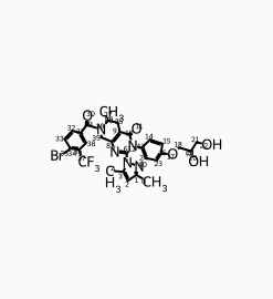 Cc1cc(C)n(-c2nc3c(c(=O)n2-c2ccc(OC[C@@H](O)CO)cc2)C[C@@H](C)N(C(=O)c2ccc(Br)c(C(F)(F)F)c2)C3)n1